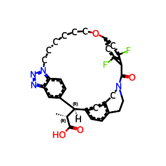 C[C@@H](C(=O)O)[C@@H]1c2ccc3c(c2)CN(CC3)C(=O)c2c(F)cc(cc2F)OCCCCCCn2nnc3cc1ccc32